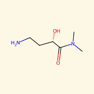 CN(C)C(=O)[C@@H](O)CCN